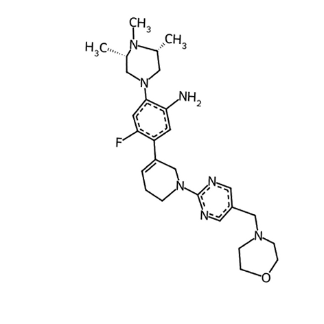 C[C@@H]1CN(c2cc(F)c(C3=CCCN(c4ncc(CN5CCOCC5)cn4)C3)cc2N)C[C@H](C)N1C